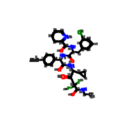 COc1ccc([C@H](NC(=O)[C@H](Cc2cccc(Cl)c2)NC(=O)c2ccccn2)C(=O)N[C@H](C(=O)C(F)(F)C(=O)NCC(F)(F)F)C2CC2)cc1